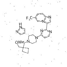 COCC1(CN2CCN(c3ccnc(-c4cnc5ccc(C(F)(F)F)cn45)n3)[C@@H](C)[C@H]2c2cn[nH]c2)CCC1